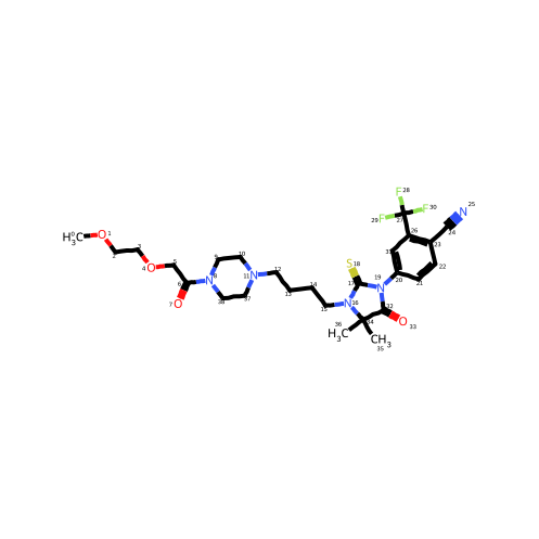 COCCOCC(=O)N1CCN(CCCCN2C(=S)N(c3ccc(C#N)c(C(F)(F)F)c3)C(=O)C2(C)C)CC1